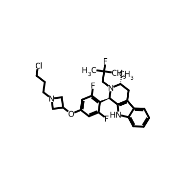 C[C@@H]1Cc2c([nH]c3ccccc23)[C@@H](c2c(F)cc(OC3CN(CCCCl)C3)cc2F)N1CC(C)(C)F